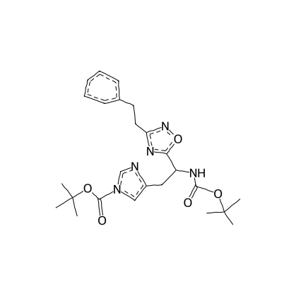 CC(C)(C)OC(=O)NC(Cc1cn(C(=O)OC(C)(C)C)cn1)c1nc(CCc2ccccc2)no1